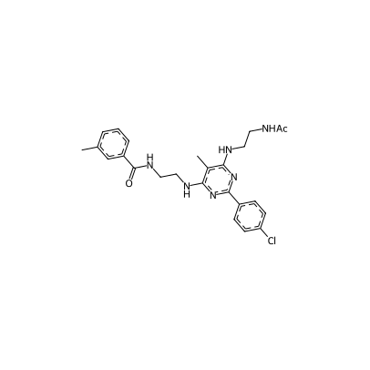 CC(=O)NCCNc1nc(-c2ccc(Cl)cc2)nc(NCCNC(=O)c2cccc(C)c2)c1C